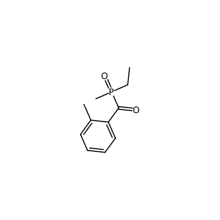 CCP(C)(=O)C(=O)c1ccccc1C